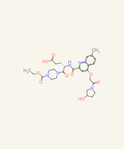 CCOC(=O)N1CCN(C(=O)[C@H](CCC(=O)O)NC(=O)c2cc(OCC(=O)N3CC[C@@H](O)C3)c3ccc(C)cc3n2)CC1